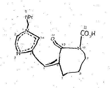 CCCn1cnc(C=C2CCCN(C(=O)O)C2=O)c1